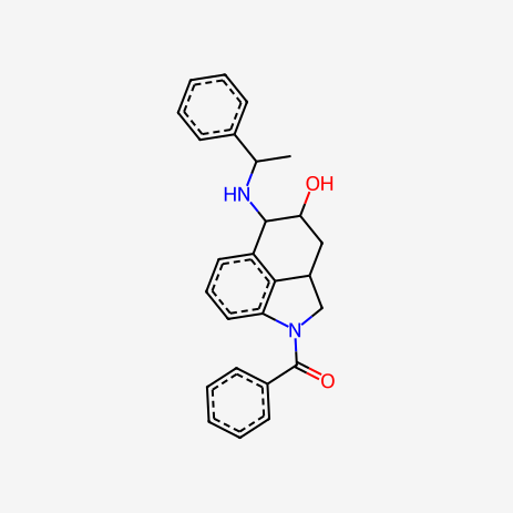 CC(NC1c2cccc3c2C(CC1O)CN3C(=O)c1ccccc1)c1ccccc1